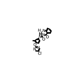 Cc1cc(NC(=O)NC(=O)c2ccccc2N)ccc1Oc1ncc(Cl)cn1